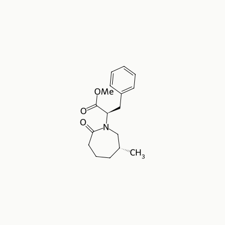 COC(=O)[C@@H](Cc1ccccc1)N1C[C@H](C)CCCC1=O